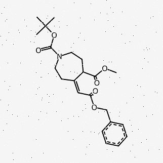 COC(=O)C1CCN(C(=O)OC(C)(C)C)CC/C1=C/C(=O)OCc1ccccc1